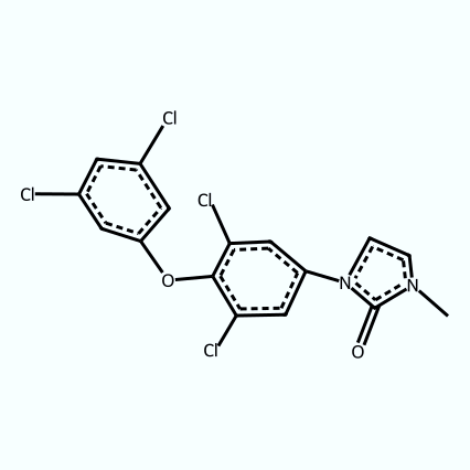 Cn1ccn(-c2cc(Cl)c(Oc3cc(Cl)cc(Cl)c3)c(Cl)c2)c1=O